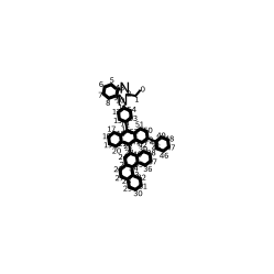 CCc1nc2ccccc2n1-c1ccc(-c2c3ccccc3c(-c3cc4ccc5ccccc5c4c4ccccc34)c3cc(-c4ccccc4)ccc23)cc1